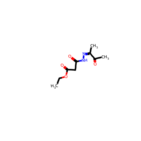 CCOC(=O)CC(=O)NN=C(C)C(C)=O